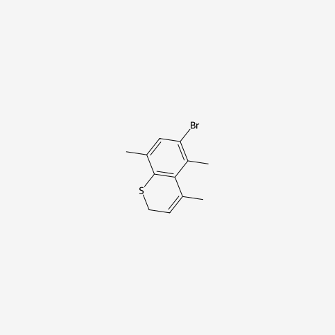 CC1=CCSc2c(C)cc(Br)c(C)c21